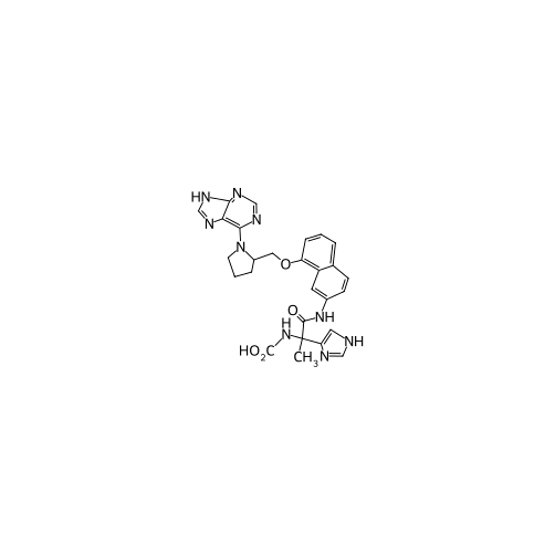 CC(NC(=O)O)(C(=O)Nc1ccc2cccc(OCC3CCCN3c3ncnc4[nH]cnc34)c2c1)c1c[nH]cn1